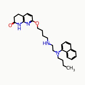 CCCCN(CCNCCCCOc1ccc2c(n1)NC(=O)CC2)c1cccc2ccccc12